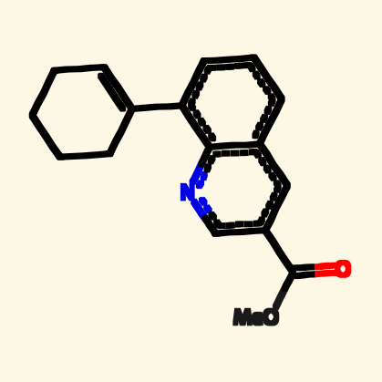 COC(=O)c1cnc2c(C3=CCCCC3)cccc2c1